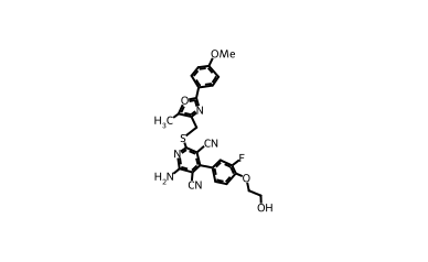 COc1ccc(-c2nc(CSc3nc(N)c(C#N)c(-c4ccc(OCCO)c(F)c4)c3C#N)c(C)o2)cc1